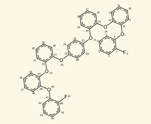 Fc1ccccc1Oc1ccccc1Oc1ccccc1Oc1ccc(Oc2ccccc2Oc2ccccc2Oc2ccccc2F)cc1